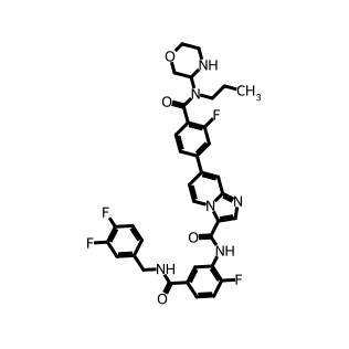 CCCN(C(=O)c1ccc(-c2ccn3c(C(=O)Nc4cc(C(=O)NCc5ccc(F)c(F)c5)ccc4F)cnc3c2)cc1F)C1COCCN1